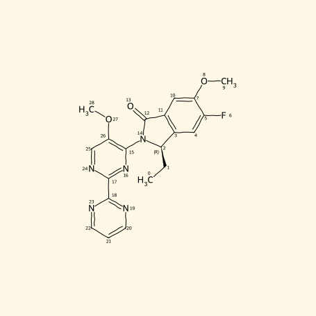 CC[C@@H]1c2cc(F)c(OC)cc2C(=O)N1c1nc(-c2ncccn2)ncc1OC